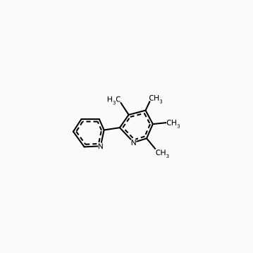 Cc1nc(-c2ccccn2)c(C)c(C)c1C